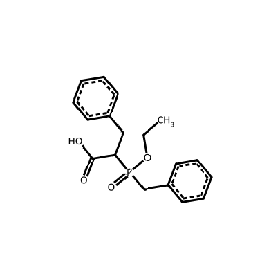 CCOP(=O)(Cc1ccccc1)C(Cc1ccccc1)C(=O)O